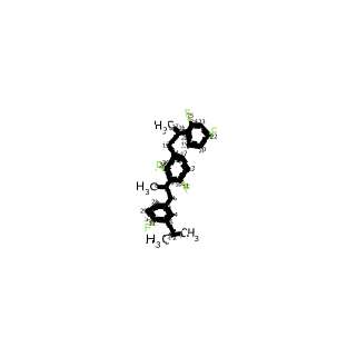 CC(C)c1cc(CC(C)c2c(F)ccc(CC(C)c3ccc(F)cc3F)c2F)ccc1F